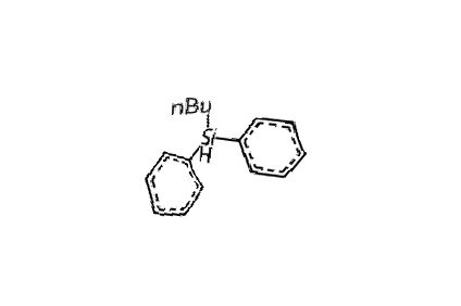 CCCC[SiH](c1ccccc1)c1ccccc1